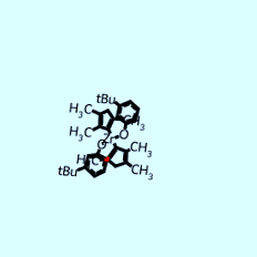 CC1=C(C)[C]([Zr]([O]c2cccc(C(C)(C)C)c2)([O]c2cccc(C(C)(C)C)c2)[C]2=C(C)CC(C)=C2C)=C(C)C1